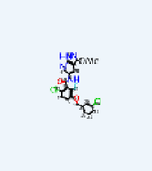 COc1n[nH]c2ncc(NC(=O)c3c(Cl)ccc(OCc4cccc(Cl)c4)c3F)cc12